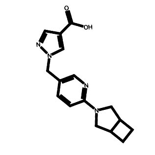 O=C(O)c1cnn(Cc2ccc(N3CC4CCC4C3)nc2)c1